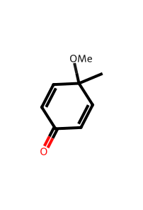 COC1(C)C=CC(=O)C=C1